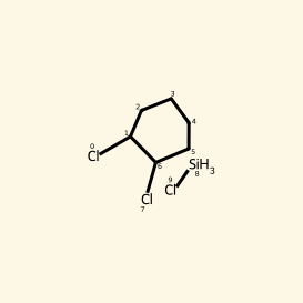 ClC1CCCCC1Cl.[SiH3]Cl